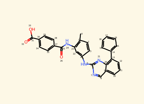 Cc1ccc(Nc2ncc3cccc(-c4ccccc4)c3n2)cc1NC(=O)c1ccc(C(=O)O)cc1